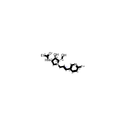 CCC(=O)N[C@H]1CN(C/C=C/c2ccc(F)nc2)[C@@H](CO)[C@@H]1O